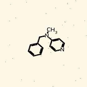 CN(Cc1ccccc1)c1ccncc1